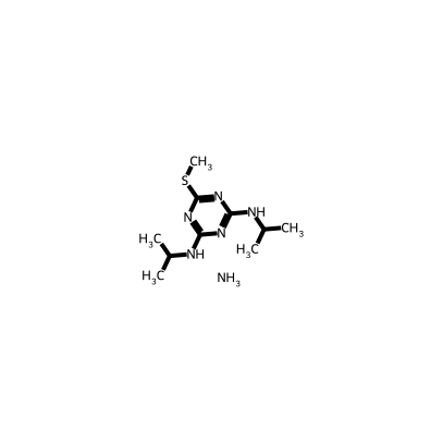 CSc1nc(NC(C)C)nc(NC(C)C)n1.N